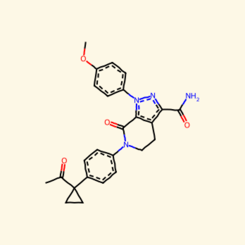 COc1ccc(-n2nc(C(N)=O)c3c2C(=O)N(c2ccc(C4(C(C)=O)CC4)cc2)CC3)cc1